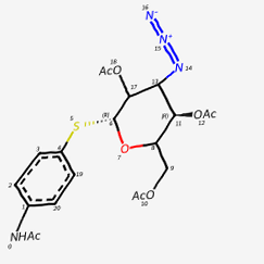 CC(=O)Nc1ccc(S[C@H]2OC(COC(C)=O)[C@H](OC(C)=O)C(N=[N+]=[N-])C2OC(C)=O)cc1